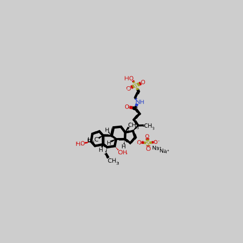 CC[C@H]1[C@@H](O)[C@@H]2[C@H](CC[C@]3(C)[C@@H](C(C)CCC(=O)NCCS(=O)(=O)O)CC[C@@H]23)[C@@]2(C)CC[C@H](O)C[C@@H]12.O=S(=O)([O-])[O-].[Na+].[Na+]